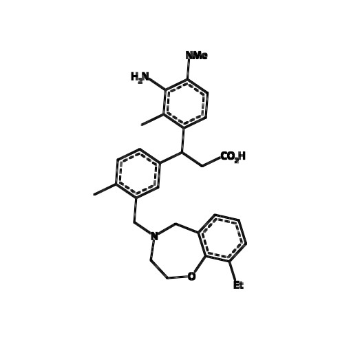 CCc1cccc2c1OCCN(Cc1cc(C(CC(=O)O)c3ccc(NC)c(N)c3C)ccc1C)C2